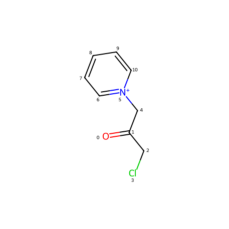 O=C(CCl)C[n+]1ccccc1